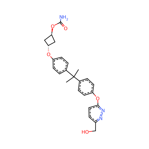 CC(C)(c1ccc(Oc2ccc(CO)nn2)cc1)c1ccc(O[C@H]2C[C@H](OC(N)=O)C2)cc1